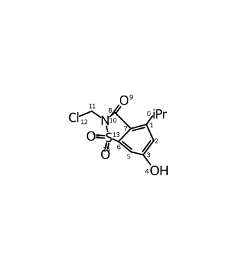 CC(C)c1cc(O)cc2c1C(=O)N(CCl)S2(=O)=O